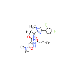 CCN(CC)C(=O)C[C@H](NC(=O)CCC(C)C)C(=O)N[C@@H](C)c1nc(-c2ccc(F)cc2F)cn1C